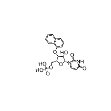 O=c1ccn([C@H]2O[C@@H](COP(=O)(O)O)C(Oc3cccc4ccccc34)C2O)c(=O)[nH]1